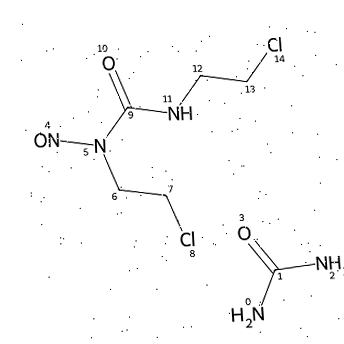 NC(N)=O.O=NN(CCCl)C(=O)NCCCl